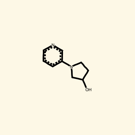 OC1CCN(c2[c]nccc2)C1